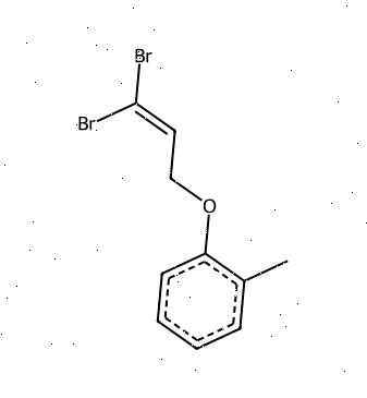 Cc1ccccc1OCC=C(Br)Br